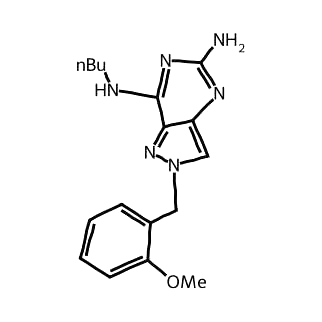 CCCCNc1nc(N)nc2cn(Cc3ccccc3OC)nc12